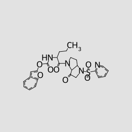 CCCC(NC(=O)Oc1cc2ccccc2o1)C(=O)N1CCC2C1C(=O)CN2S(=O)(=O)c1ccccn1